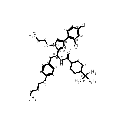 CCCCOc1ccc(C[C@H](NC(=O)C2CCC(C(C)(C)C)CC2)c2nc(-c3ccc(Cl)cc3Cl)cn2OCCC)cc1